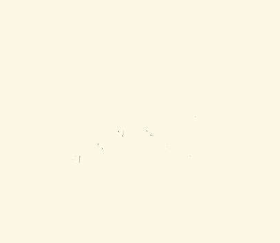 O=C(CC1(c2ccccc2)C2CC3CC(C2)CC1C3)N1CCN(c2cccc(Cl)n2)CC1